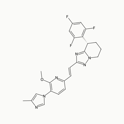 COc1nc(/C=C/c2nc3n(n2)CCC[C@H]3c2c(F)cc(F)cc2F)ccc1-n1cnc(C)c1